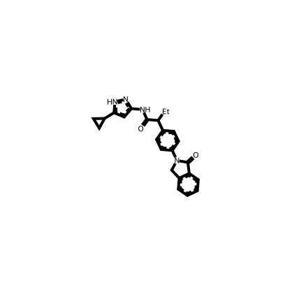 CCC(C(=O)Nc1cc(C2CC2)[nH]n1)c1ccc(N2Cc3ccccc3C2=O)cc1